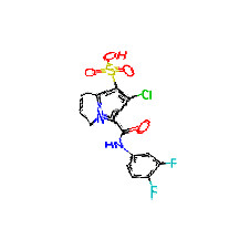 O=C(Nc1ccc(F)c(F)c1)c1c(Cl)c(S(=O)(=O)O)c2n1CC=C2